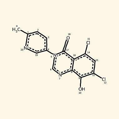 Cc1ccc(-n2cnc3c(O)c(Cl)cc(Cl)c3c2=O)cn1